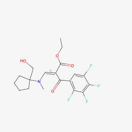 CCOC(=O)/C(=C/N(C)C1(CO)CCCC1)C(=O)c1cc(F)c(F)c(F)c1F